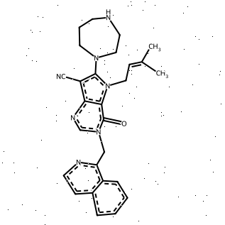 CC(C)=CCn1c(N2CCCNCC2)c(C#N)c2ncn(Cc3nccc4ccccc34)c(=O)c21